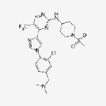 CN(C)Cc1ccc(-n2cnc(-c3nc(NC4CCN(S(C)(=O)=O)CC4)ncc3C(F)(F)F)c2)c(Cl)c1